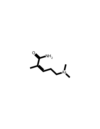 CC(=CCC[As](C)C)C(N)=O